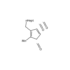 CCCCCCCCC1=[C]([Mn])CC=C1.[C]=O.[C]=O.[C]=O